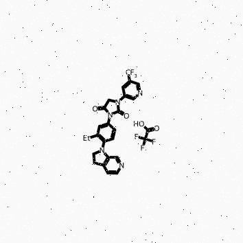 CCc1cc(N2C(=O)CN(c3cncc(C(F)(F)F)c3)C2=O)ccc1N1CCc2ccncc21.O=C(O)C(F)(F)F